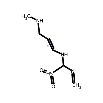 C=NC(N/C=C/CNC)[SH](=O)=O